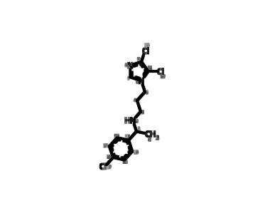 CC(NCCCn1cnc(Cl)c1Cl)c1ccc(Cl)cc1